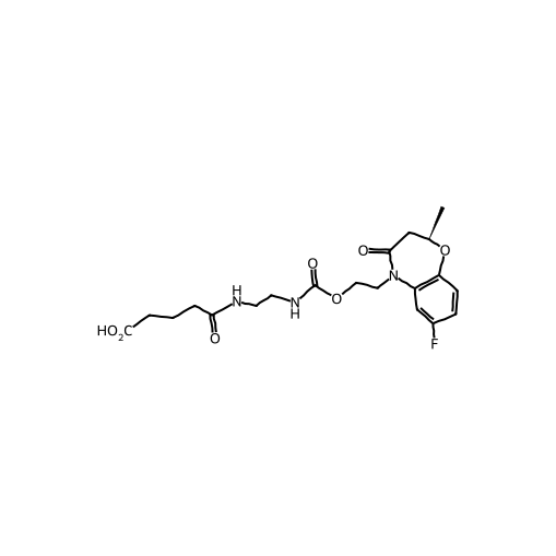 C[C@@H]1CC(=O)N(CCOC(=O)NCCNC(=O)CCCC(=O)O)c2cc(F)ccc2O1